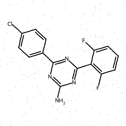 Nc1nc(-c2ccc(Cl)cc2)nc(-c2c(F)cccc2F)n1